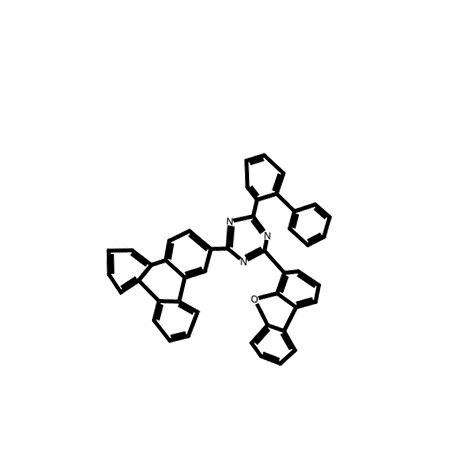 c1ccc(-c2ccccc2-c2nc(-c3ccc4c5ccccc5c5ccccc5c4c3)nc(-c3cccc4c3oc3ccccc34)n2)cc1